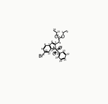 CCOP(Cc1cc2ccc(Br)cc2n1S(=O)(=O)c1ccccc1)OCC